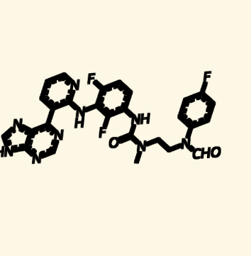 CN(CCN(C=O)c1ccc(F)cc1)C(=O)Nc1ccc(F)c(Nc2ncccc2-c2ncnc3[nH]cnc23)c1F